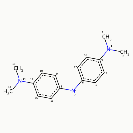 CN(C)c1ccc([N]c2ccc(N(C)C)cc2)cc1